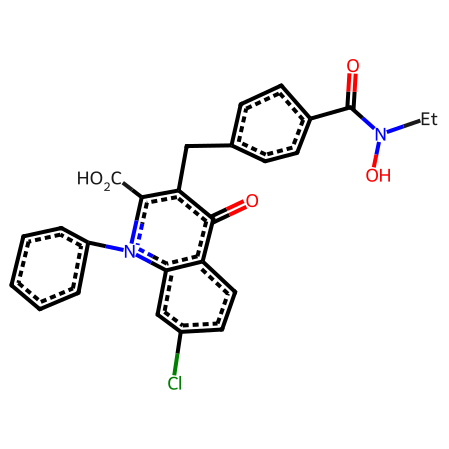 CCN(O)C(=O)c1ccc(Cc2c(C(=O)O)n(-c3ccccc3)c3cc(Cl)ccc3c2=O)cc1